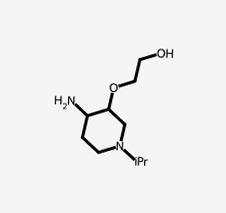 CC(C)N1CCC(N)C(OCCO)C1